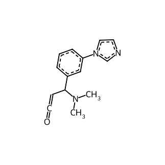 CN(C)C(C=C=O)c1cccc(-n2ccnc2)c1